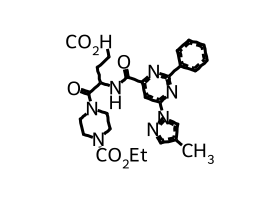 CCOC(=O)N1CCN(C(=O)C(CCC(=O)O)NC(=O)c2cc(-n3cc(C)cn3)nc(-c3ccccc3)n2)CC1